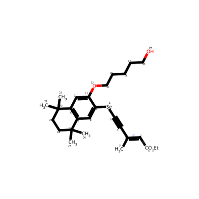 CCOC(=O)/C=C(\C)C#C[Se]c1cc2c(cc1OCCCCCO)C(C)(C)CCC2(C)C